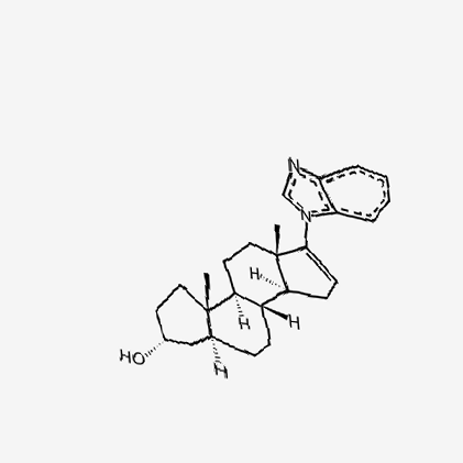 C[C@]12CC[C@@H](O)C[C@@H]1CC[C@@H]1[C@@H]2CC[C@]2(C)C(n3cnc4ccccc43)=CC[C@@H]12